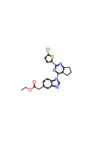 CCOC(=O)Cc1ccc2c(c1)ncn2-c1nc(-c2ccc(Cl)s2)nc2c1CCC2